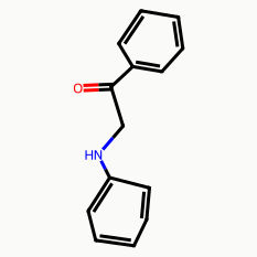 O=C(CNc1ccccc1)c1ccccc1